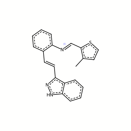 Cc1ccsc1/C=N/c1ccccc1C=Cc1n[nH]c2ccccc12